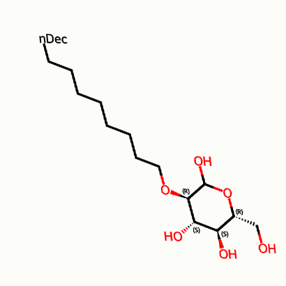 CCCCCCCCCCCCCCCCCCO[C@H]1C(O)O[C@H](CO)[C@@H](O)[C@@H]1O